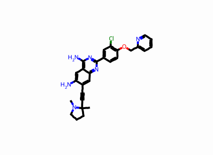 CN1CCCC1(C)C#Cc1cc2nc(-c3ccc(OCc4ccccn4)c(Cl)c3)nc(N)c2cc1N